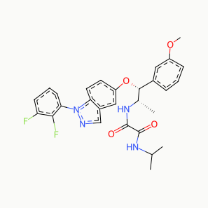 COc1cccc([C@@H](Oc2ccc3c(cnn3-c3cccc(F)c3F)c2)[C@H](C)NC(=O)C(=O)NC(C)C)c1